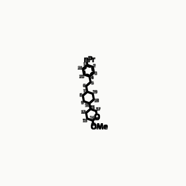 CCCc1ccc(CCC2CCC(C3CCC(OC)OC3)CC2)cc1